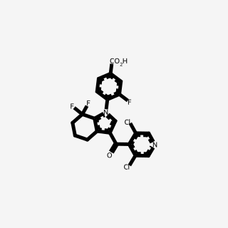 O=C(O)c1ccc(-n2cc(C(=O)c3c(Cl)cncc3Cl)c3c2C(F)(F)CCC3)c(F)c1